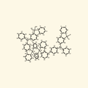 CC1(C)c2ccccc2-c2ccc(N(c3ccccc3)c3ccc(-c4cccc5c4-c4ccccc4C54c5ccccc5C5(c6ccccc6-c6ccc(N(c7ccccc7)c7ccc8c(c7)C(C)(C)c7ccccc7-8)cc65)c5ccccc54)cc3)cc21